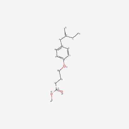 CCC(C)Cc1ccc(OCCCC(=O)OC)cc1